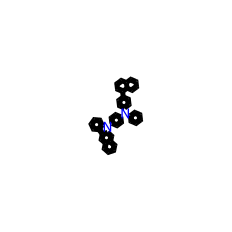 C1=CC2C=CC=C(c3ccc(N(c4ccccc4)c4ccc(-n5c6ccccc6c6cc7ccccc7cc65)cc4)cc3)C2C=C1